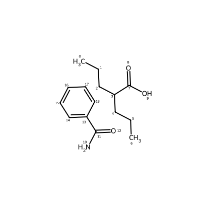 CCCC(CCC)C(=O)O.NC(=O)c1ccccc1